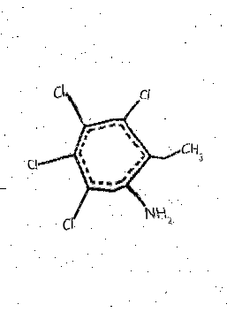 Cc1c(N)c(Cl)c(Cl)c(Cl)c1Cl